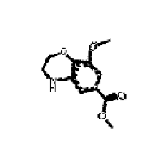 COC(=O)c1cc2c(c(OC)c1)OCCN2